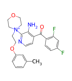 Cc1cccc(OCC[N+]2(c3nccc(C(=O)c4ccc(F)cc4F)c3N)CCOCC2)c1